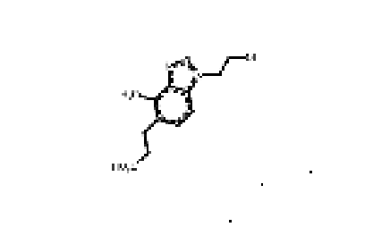 Cc1c(CCC(=O)O)ccc2c1nnn2CCO